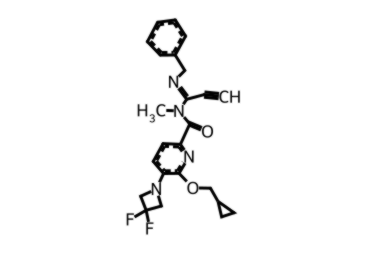 C#C/C(=N\Cc1ccccc1)N(C)C(=O)c1ccc(N2CC(F)(F)C2)c(OCC2CC2)n1